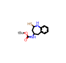 CC(C)(C)OC(=O)NC1Cc2ccccc2NC(S)C1